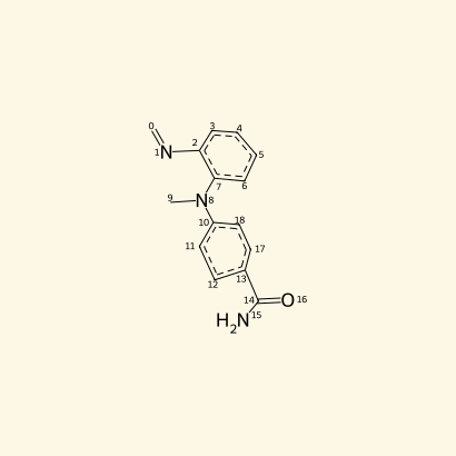 C=Nc1ccccc1N(C)c1ccc(C(N)=O)cc1